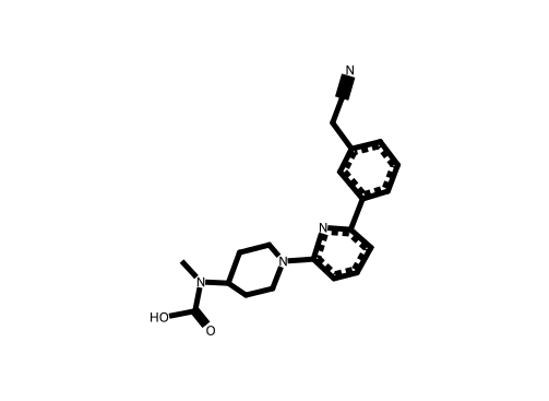 CN(C(=O)O)C1CCN(c2cccc(-c3cccc(CC#N)c3)n2)CC1